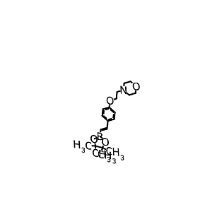 CC1(C)OB(C=Cc2ccc(OCCN3CCOCC3)cc2)OC1(C)C